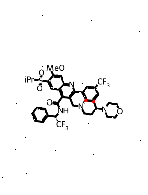 COc1cc2nc(-c3cccc(C(F)(F)F)c3)c(CN3CCC(N4CCOCC4)CC3)c(C(=O)N[C@@H](c3ccccc3)C(F)(F)F)c2cc1S(=O)(=O)C(C)C